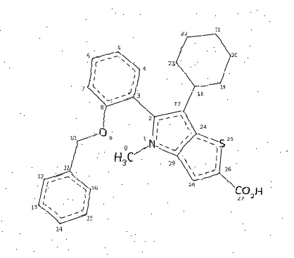 Cn1c(-c2ccccc2OCc2ccccc2)c(C2CCCCC2)c2sc(C(=O)O)cc21